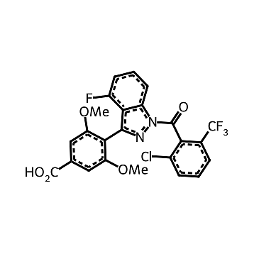 COc1cc(C(=O)O)cc(OC)c1-c1nn(C(=O)c2c(Cl)cccc2C(F)(F)F)c2cccc(F)c12